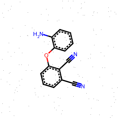 N#Cc1cccc(Oc2ccccc2N)c1C#N